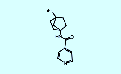 CC(C)C12CCC(NC(=O)c3ccncc3)(CC1)C2